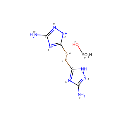 Nc1n[nH]c(SSc2nc(N)n[nH]2)n1.O=S(=O)(O)O